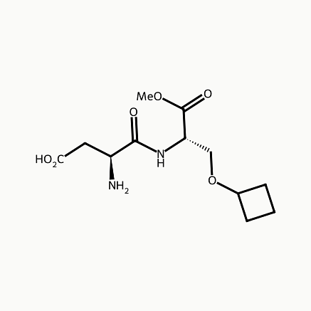 COC(=O)[C@H](COC1CCC1)NC(=O)[C@@H](N)CC(=O)O